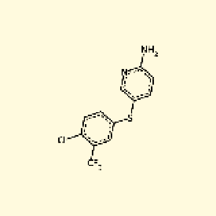 Nc1ccc(Sc2ccc(Cl)c(C(F)(F)F)c2)cn1